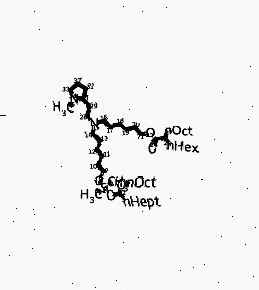 CCCCCCCCOC(CCCCCCC)O[Si](C)(C)OCCCCCCN(CCCCCCOC(=O)C(CCCCCC)CCCCCCCC)CCC1CCCN1C